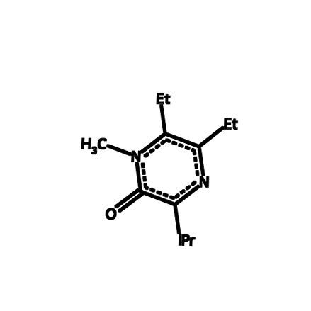 CCc1nc(C(C)C)c(=O)n(C)c1CC